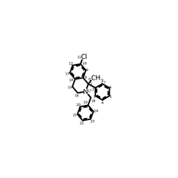 CC1(c2ccccc2)c2cc(Cl)ccc2CCN1Cc1ccccc1